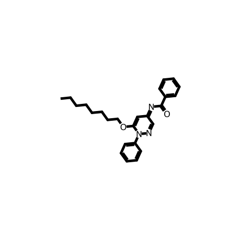 CCCCCCCCOc1cc(=NC(=O)c2ccccc2)cnn1-c1ccccc1